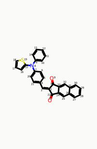 O=C1C(=Cc2ccc(N(c3ccccc3)c3cccs3)cc2)C(=O)c2cc3ccccc3cc21